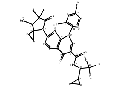 CC1(C)C(=O)N(c2ccc3c(=O)c(C(=O)N[C@H](C4CC4)C(F)(F)F)cn(-c4ncc(F)cc4F)c3n2)C2(CC2)C1O